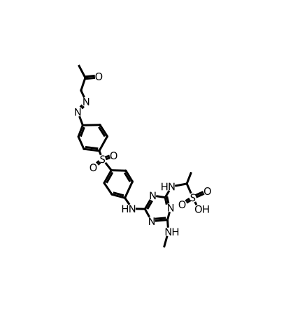 CNc1nc(Nc2ccc(S(=O)(=O)c3ccc(N=NCC(C)=O)cc3)cc2)nc(NC(C)S(=O)(=O)O)n1